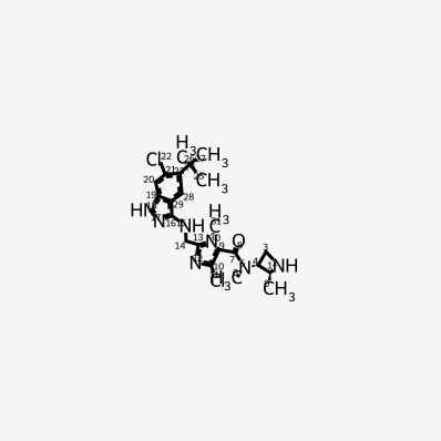 C[C@@H]1NC[C@H]1N(C)C(=O)c1c(Cl)nc(CNc2n[nH]c3cc(Cl)c(C(C)(C)C)cc23)n1C